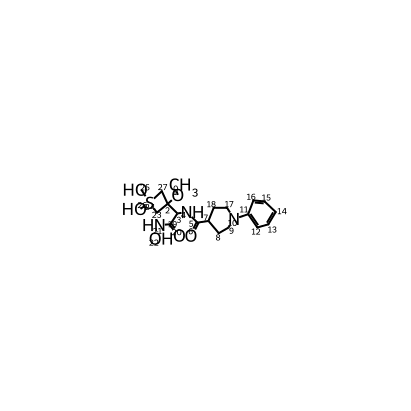 COC1(C(NC(=O)C2CCN(c3ccccc3)CC2)C(=O)NO)CS(O)(O)C1